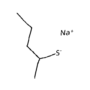 CCCC(C)[S-].[Na+]